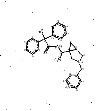 NC(NC(=O)C(O)(c1ccccc1)c1ccccc1)C12CC1CN(Cc1ccncc1)C2